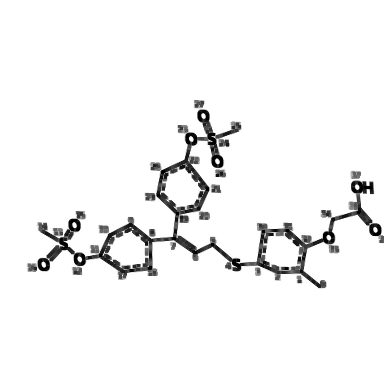 Cc1cc(SCC=C(c2ccc(OS(C)(=O)=O)cc2)c2ccc(OS(C)(=O)=O)cc2)ccc1OCC(=O)O